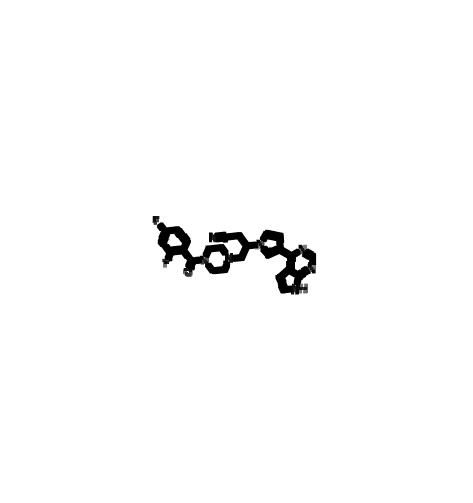 N#CCC(CN1CCN(C(=O)c2ccc(F)cc2F)CC1)n1ccc(-c2ncnc3[nH]ccc23)c1